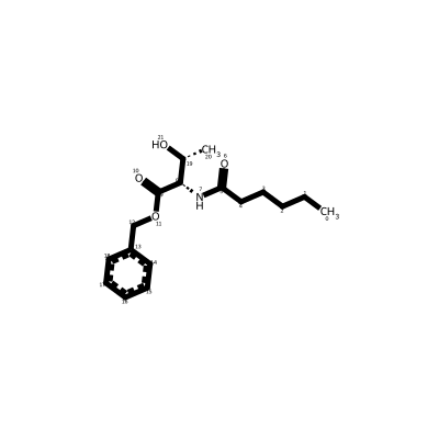 CCCCCC(=O)N[C@H](C(=O)OCc1ccccc1)[C@@H](C)O